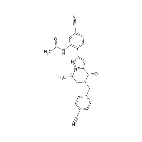 CC(=O)Nc1cc(C#N)ccc1-c1cc2n(n1)[C@@H](C)CN(Cc1ccc(C#N)cc1)C2=O